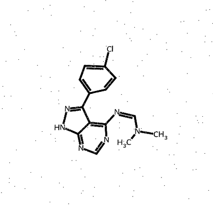 CN(C)/C=N\c1ncnc2[nH]nc(-c3ccc(Cl)cc3)c12